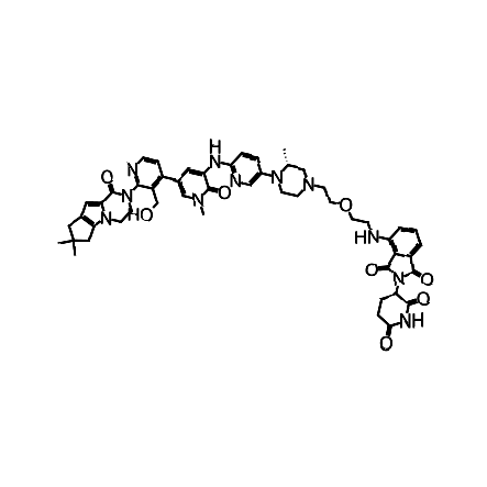 C[C@@H]1CN(CCOCCNc2cccc3c2C(=O)N(C2CCC(=O)NC2=O)C3=O)CCN1c1ccc(Nc2cc(-c3ccnc(N4CCn5c(cc6c5CC(C)(C)C6)C4=O)c3CO)cn(C)c2=O)nc1